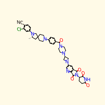 C[C@H]1CC2(CCN(c3ccc(C(=O)N4CCN(C5CN(c6cnc7c(c6)C(=O)N(C6CCC(=O)NC6=O)C7=O)C5)CC4)cc3)CC2)CN1c1ccc(C#N)c(Cl)c1